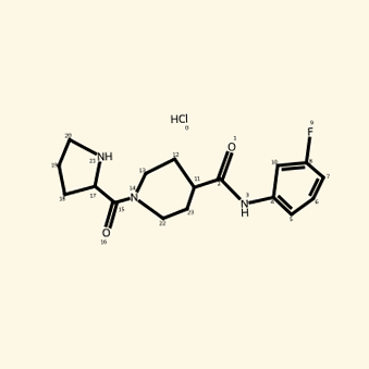 Cl.O=C(Nc1cccc(F)c1)C1CCN(C(=O)C2CCCN2)CC1